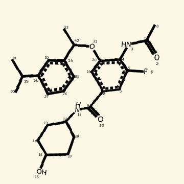 CC(=O)Nc1c(F)cc(C(=O)NC2CCC(O)CC2)cc1OC(C)c1cccc(C(C)C)c1